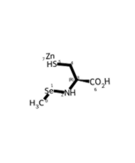 C[Se]N[C@@H](CS)C(=O)O.[Zn]